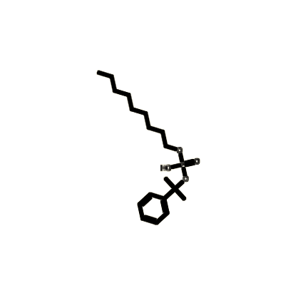 CCCCCCCCCOP(=O)(O)OC(C)(C)c1ccccc1